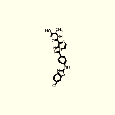 C[C@H](NC(=O)c1nccn2c(-c3ccc(Nc4nc5ccc(Cl)cc5s4)cc3)nnc12)C(=O)O